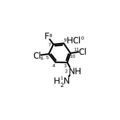 Cl.NNc1cc(Cl)c(F)cc1Cl